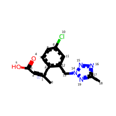 C/C(=C/C(=O)O)c1ccc(Cl)cc1Cn1nnc(C)n1